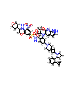 O=C(NS(=O)(=O)c1cc2c(c([N+](=O)[O-])c1)N[C@H](C1CCOCC1)CO2)c1ccc(N2CCC3(CC2)CC(N2CCC[C@H]2c2ccccc2C2CC2)C3)cc1N1c2cc3cc[nH]c3nc2O[C@H]2COC[C@H]21